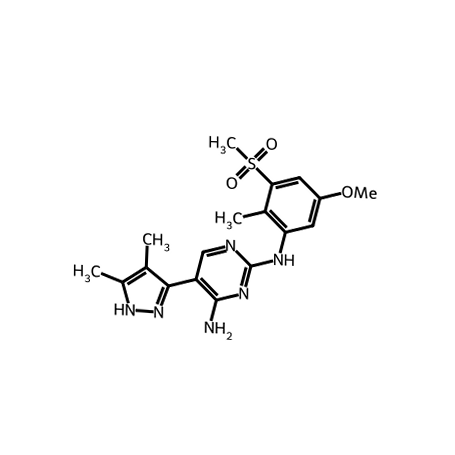 COc1cc(Nc2ncc(-c3n[nH]c(C)c3C)c(N)n2)c(C)c(S(C)(=O)=O)c1